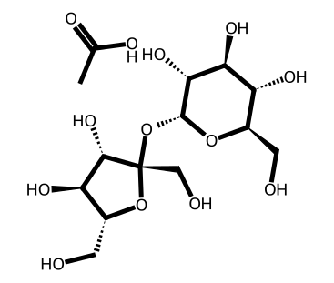 CC(=O)O.OC[C@H]1O[C@@](CO)(O[C@H]2O[C@H](CO)[C@@H](O)[C@H](O)[C@H]2O)[C@@H](O)[C@@H]1O